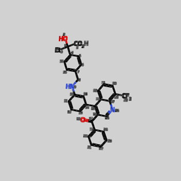 CCC(O)(C(=O)O)c1ccc(CNc2cccc(-c3c(C(=O)c4ccccc4)cnc4c(C(F)(F)F)cccc34)c2)cc1